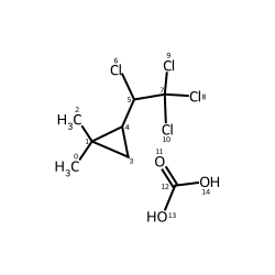 CC1(C)CC1C(Cl)C(Cl)(Cl)Cl.O=C(O)O